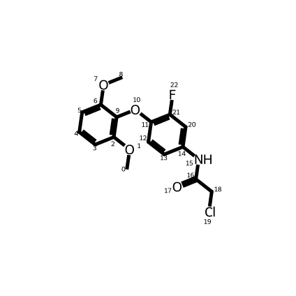 COc1cccc(OC)c1Oc1ccc(NC(=O)CCl)cc1F